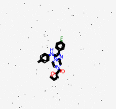 Cc1ccc(Nc2c(-c3ccc(F)cc3)nc3n2CCN(C(=O)C2CCCO2)C3)cc1